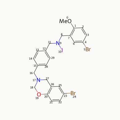 COc1ccc(Br)cc1CN(I)Cc1ccc(CN2COc3ccc(Br)cc3C2)cc1